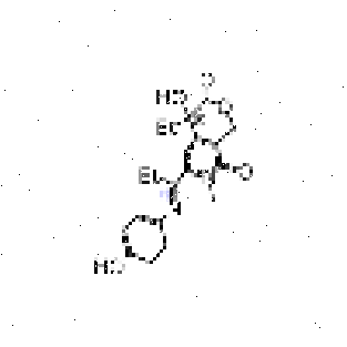 CC/C(=N\C1=CC=C(O)CC1)c1cc2c(c(=O)n1C)COC(=O)[C@]2(O)CC